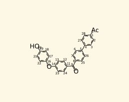 CC(=O)c1ccc(-c2ccc(C(=O)c3ccc(Oc4ccc(O)cc4)cc3)cc2)cc1